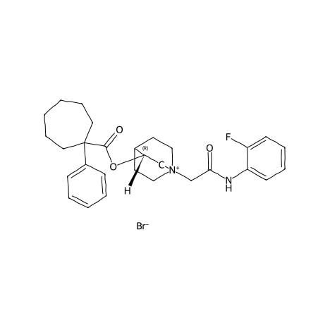 O=C(C[N+]12CCC(CC1)[C@@H](OC(=O)C1(c3ccccc3)CCCCCC1)C2)Nc1ccccc1F.[Br-]